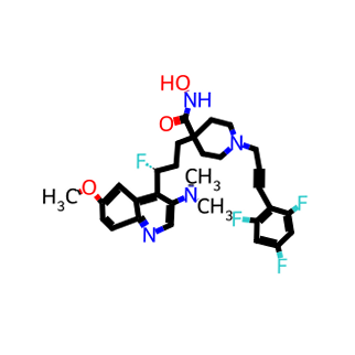 COc1ccc2ncc(N(C)C)c([C@H](F)CCC3(C(=O)NO)CCN(CC#Cc4c(F)cc(F)cc4F)CC3)c2c1